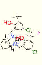 CC(C)(C)c1cc(Cl)cc(C=[N+]2[Co][N+](=Cc3cc(Cl)cc(C(C)(C)C)c3O)[C@@H]3CCCC[C@H]32)c1O.[I-]